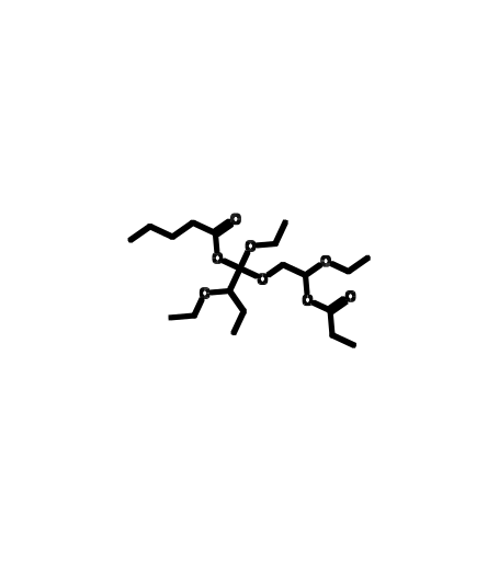 CCCCC(=O)OC(OCC)(OCC(OCC)OC(=O)CC)[C](CC)OCC